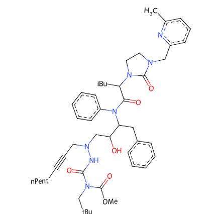 CCCCCC#CCN(CC(O)C(Cc1ccccc1)N(C(=O)C(C(C)CC)N1CCN(Cc2cccc(C)n2)C1=O)c1ccccc1)NC(=O)N(CC(C)(C)C)C(=O)OC